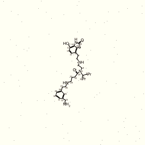 CC(C)C(C(C)C)N(CCNCCc1ccc(O)c2[nH]c(=O)sc12)C(=O)CCCNCCc1cccc(CN)c1